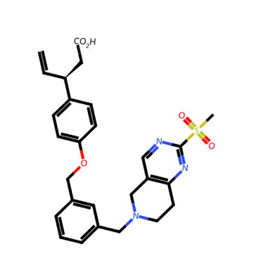 C=C[C@@H](CC(=O)O)c1ccc(OCc2cccc(CN3CCc4nc(S(C)(=O)=O)ncc4C3)c2)cc1